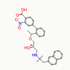 CC(OC[C@H](O)CNC(C)(C)Cc1ccc2ccccc2c1)c1ccccc1-c1ccc(C(=O)O)c([N+](=O)[O-])c1